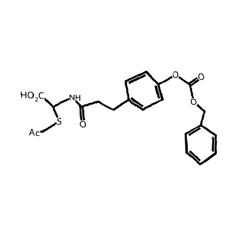 CC(=O)SC(NC(=O)CCc1ccc(OC(=O)OCc2ccccc2)cc1)C(=O)O